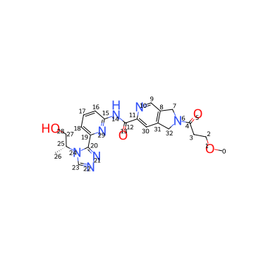 COCCC(=O)N1Cc2cnc(C(=O)Nc3cccc(-c4nncn4[C@H](C)CO)n3)cc2C1